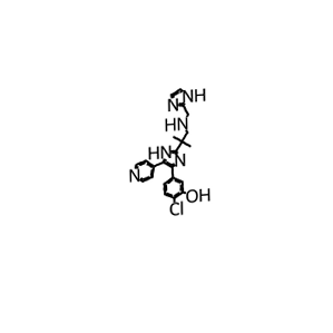 CC(C)(CNCc1ncc[nH]1)c1nc(-c2ccc(Cl)c(O)c2)c(-c2ccncc2)[nH]1